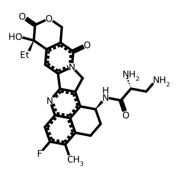 CC[C@@]1(O)C(=O)OCc2c1cc1n(c2=O)Cc2c-1nc1cc(F)c(C)c3c1c2[C@@H](NC(=O)[C@H](N)CN)CC3